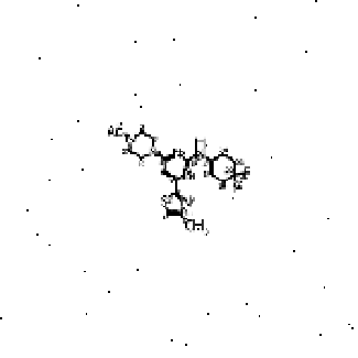 CC(=O)N1CCN(c2cc(-c3nc(C)cs3)nc(NC3CCC(F)(F)CC3)n2)CC1